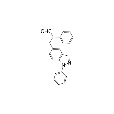 O=CC(Cc1ccc2c(cnn2-c2ccccc2)c1)c1ccccc1